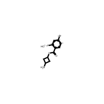 Cl.NC1CC(OC(=O)c2ccc(Br)cc2F)C1